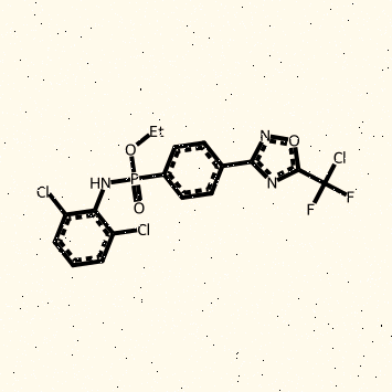 CCOP(=O)(Nc1c(Cl)cccc1Cl)c1ccc(-c2noc(C(F)(F)Cl)n2)cc1